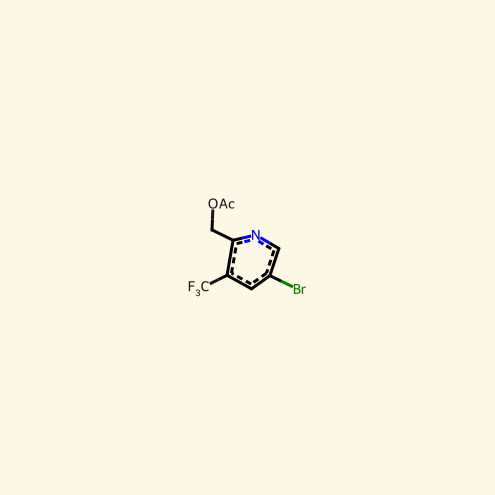 CC(=O)OCc1ncc(Br)cc1C(F)(F)F